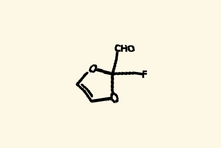 O=CC1(F)OC=CO1